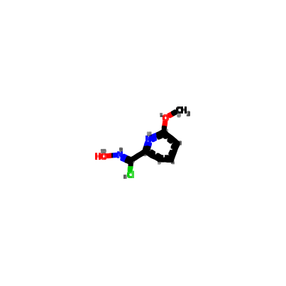 COc1cccc(C(Cl)=NO)n1